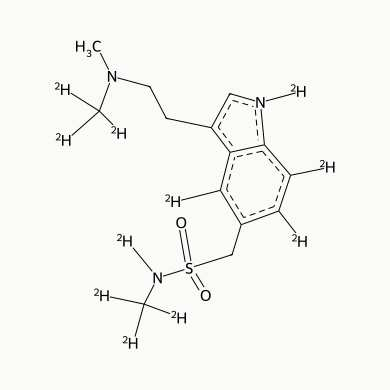 [2H]c1c(CS(=O)(=O)N([2H])C([2H])([2H])[2H])c([2H])c2c(CCN(C)C([2H])([2H])[2H])cn([2H])c2c1[2H]